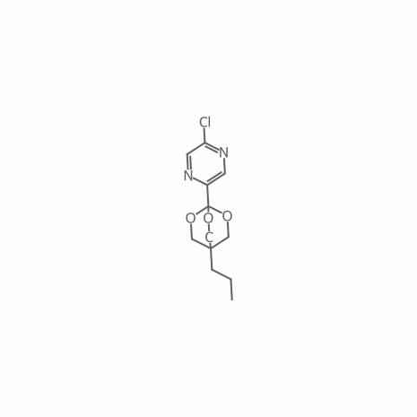 CCCC12COC(c3cnc(Cl)cn3)(OC1)OC2